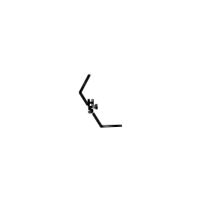 CC[SH4]CC